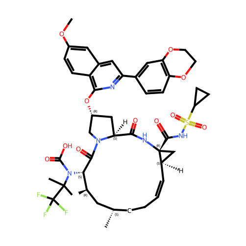 COc1ccc2c(O[C@@H]3C[C@H]4C(=O)N[C@]5(C(=O)NS(=O)(=O)C6CC6)C[C@H]5C=CCC[C@H](C)C[C@@H](C)[C@H](N(C(=O)O)C(C)(C)C(F)(F)F)C(=O)N4C3)nc(-c3ccc4c(c3)OCCO4)cc2c1